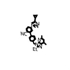 CCc1nc2c(C)cc(C)nc2n1Cc1ccc(-c2cc(-n3cc(C4CC4)nn3)ccc2C#N)cc1